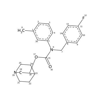 Cc1cccc(N(Cc2ccc(F)cc2)C(=O)OC2CN3CCC2CC3)c1